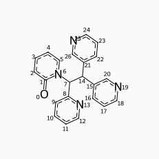 O=c1ccccn1C(c1ccccn1)C(c1cccnc1)c1cccnc1